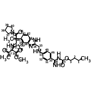 CCCCOC(=O)NC(=N)c1ccc(NCc2nc3c(C)c(C(C)(CNC(C(C)=O)C(=O)OC)C(=O)N4CCCC4)ccc3[nH]2)cc1